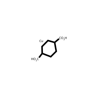 O=C(O)C1CCC(C(=O)O)CC1.[Cu]